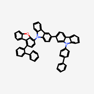 c1ccc(-c2ccc(-n3c4ccccc4c4ccc(-c5ccc6c(c5)c5ccccc5n6-c5ccc(-c6ccccc6-c6ccccc6)c6c5oc5ccccc56)cc43)cc2)cc1